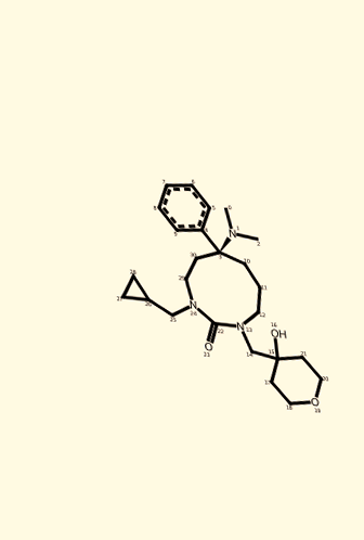 CN(C)[C@@]1(c2ccccc2)CCCN(CC2(O)CCOCC2)C(=O)N(CC2CC2)CC1